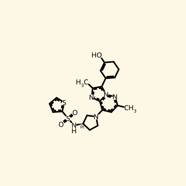 Cc1cc(N2CC[C@@H](NS(=O)(=O)c3cccs3)C2)c2nc(C)c(C3=CCCC(O)=C3)n2n1